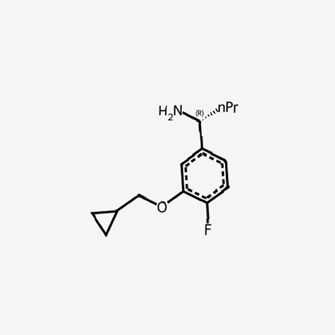 CCC[C@@H](N)c1ccc(F)c(OCC2CC2)c1